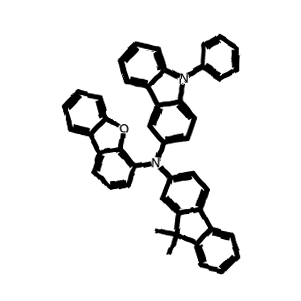 CC1(C)c2ccccc2-c2ccc(N(c3ccc4c(c3)c3ccccc3n4-c3ccccc3)c3cccc4c3oc3ccccc34)cc21